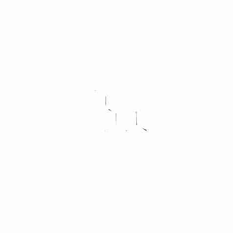 C/C=C\O[C@H]1OC(C)[C@@H](C)[C@H](C)C1N